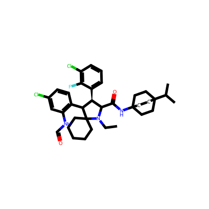 CCN1C(C(=O)NC23CCC(C(C)C)(CC2)CC3)[C@H](c2cccc(Cl)c2F)C(c2ccc(Cl)cc2NC=O)C12CCCCC2